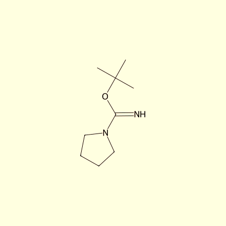 CC(C)(C)OC(=N)N1CCCC1